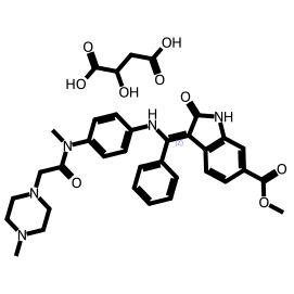 COC(=O)c1ccc2c(c1)NC(=O)/C2=C(\Nc1ccc(N(C)C(=O)CN2CCN(C)CC2)cc1)c1ccccc1.O=C(O)CC(O)C(=O)O